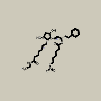 CCNC(=O)CCC/C=C/C[C@@H]1[C@@H](/C=C/[C@H](CCc2ccccc2)OC(=O)CCCCCO[N+](=O)[O-])[C@H](O)C[C@@H]1O